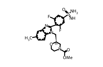 COC(=O)N1CCO[C@@H](Cn2c(-c3c(F)cc(S(=N)(N)=O)cc3F)nc3cc(C)ccc32)C1